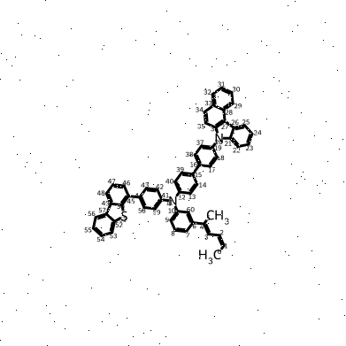 C/C=C\C=C(/C)c1cccc(N(c2ccc(-c3ccc(-n4c5ccccc5c5c6ccccc6ccc54)cc3)cc2)c2ccc(-c3cccc4c3sc3ccccc34)cc2)c1